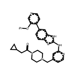 CC(C)Oc1cnccc1-c1ccc2nc(Nc3cc(CN4CCN(C(=O)CC5CC5)CC4)ccn3)[nH]c2c1